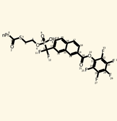 CCCC(=O)SCCOP(=O)(O)C(F)(F)c1ccc2ccc(C(=O)Oc3c(F)c(F)c(F)c(F)c3F)cc2c1